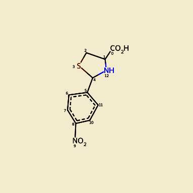 O=C(O)C1CSC(c2ccc([N+](=O)[O-])cc2)N1